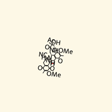 COC1=C(C)C(=O)C2=C(C1=O)[C@@H]1[C@@H]3CC4=C(C(=O)C(OC)=C(C)C4=O)[C@H](CNC(=O)C(C)(O)CC(C)=O)N3C(C#N)[C@H](C2)N1C